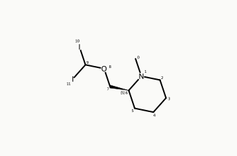 CN1CCCC[C@H]1COC(I)I